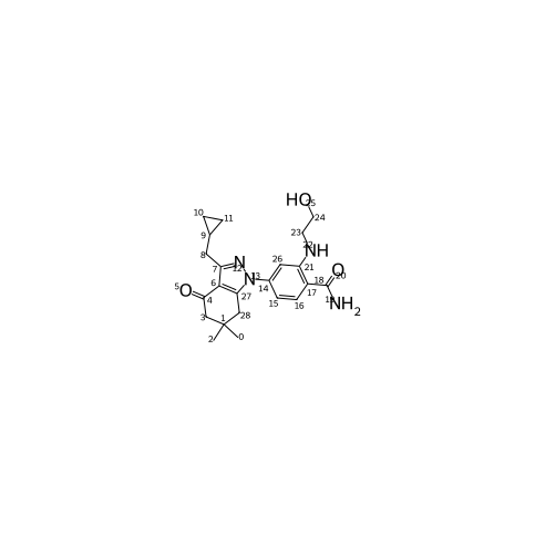 CC1(C)CC(=O)c2c(CC3CC3)nn(-c3ccc(C(N)=O)c(NCCO)c3)c2C1